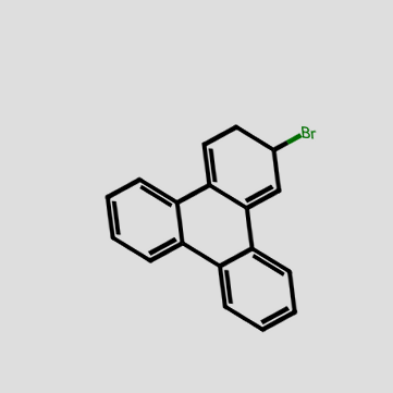 BrC1C=c2c(c3ccccc3c3ccccc23)=CC1